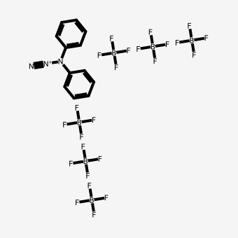 F[B-](F)(F)F.F[B-](F)(F)F.F[B-](F)(F)F.F[B-](F)(F)F.F[B-](F)(F)F.F[B-](F)(F)F.N#[N+]N(c1ccccc1)c1ccccc1